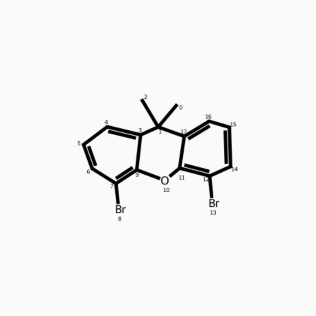 CC1(C)c2cccc(Br)c2Oc2c(Br)cccc21